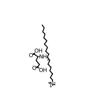 CCCCCCCCCCCCCCCCCC[N+](C)(C)C.N[C@@H](CCC(=O)O)C(=O)O